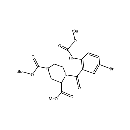 COC(=O)C1CN(C(=O)OC(C)(C)C)CCN1C(=O)c1cc(Br)ccc1NC(=O)OC(C)(C)C